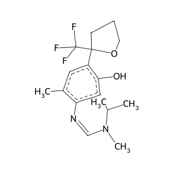 Cc1cc(C2(C(F)(F)F)CCCO2)c(O)cc1/N=C\N(C)C(C)C